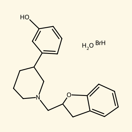 Br.O.Oc1cccc(C2CCCN(CC3Cc4ccccc4O3)C2)c1